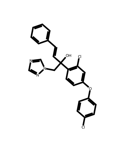 OC(C=Cc1ccccc1)(Cn1cncn1)c1ccc(Oc2ccc(Cl)cc2)cc1Cl